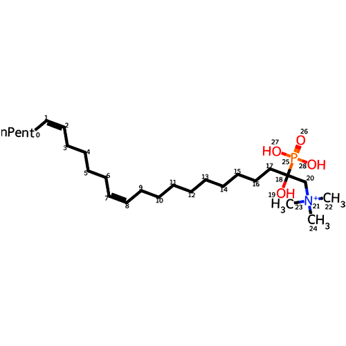 CCCCC/C=C\CCCC/C=C\CCCCCCCCCC(O)(C[N+](C)(C)C)P(=O)(O)O